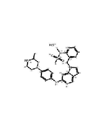 CC1CN(c2ccc(Nc3ncc4ccn(Cc5cccnc5N(C)S(C)(=O)=O)c4n3)cc2)CCN1.Cl